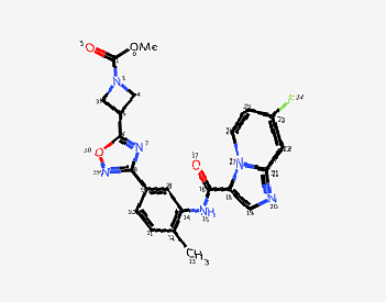 COC(=O)N1CC(c2nc(-c3ccc(C)c(NC(=O)c4cnc5cc(F)ccn45)c3)no2)C1